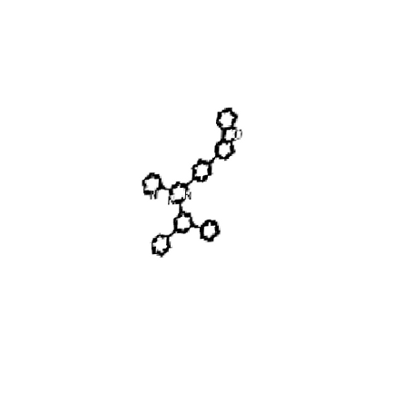 c1ccc(-c2cc(-c3ccccc3)cc(-c3nc(-c4ccc(-c5ccc6oc7ccccc7c6c5)cc4)cc(-c4ccccn4)n3)c2)cc1